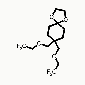 FC(F)(F)COCC1(COCC(F)(F)F)CCC2(CC1)OCCO2